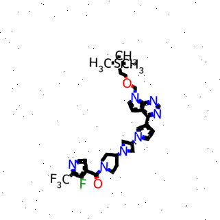 C[Si](C)(C)CCOCn1ccc2c(-c3ccn([C]4CN(C5CCN(C(=O)c6ccnc(C(F)(F)F)c6F)CC5)C4)c3)ncnc21